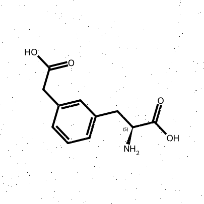 N[C@@H](Cc1cccc(CC(=O)O)c1)C(=O)O